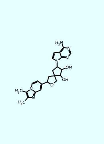 Cc1nc2cc(C3CC4(CO3)CC(n3ccc5c(N)ncnc53)C(O)C4O)ccn2c1C